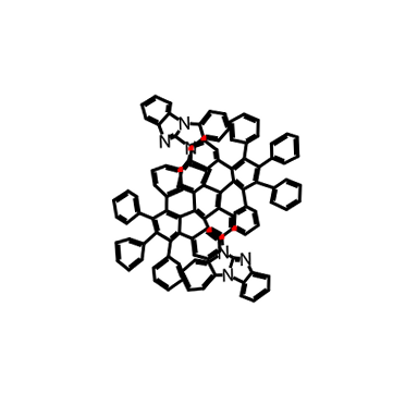 c1ccc(-c2c(-c3ccccc3)c(-c3ccccc3)c(-c3c4ccc(-n5c6ccccc6n6c7ccccc7nc56)cc4c(-c4c(-c5ccccc5)c(-c5ccccc5)c(-c5ccccc5)c(-c5ccccc5)c4-c4ccccc4)c4ccc(-n5c6ccccc6n6c7ccccc7nc56)cc34)c(-c3ccccc3)c2-c2ccccc2)cc1